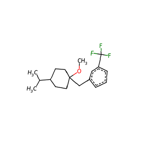 COC1(Cc2cccc(C(F)(F)F)c2)CCC(C(C)C)CC1